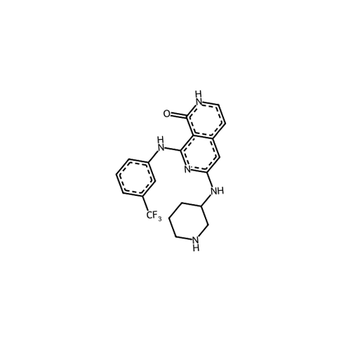 O=c1[nH]ccc2cc(NC3CCCNC3)nc(Nc3cccc(C(F)(F)F)c3)c12